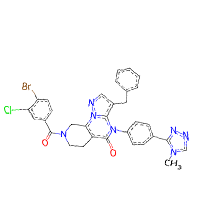 Cn1cnnc1-c1ccc(-n2c(=O)c3c(n4ncc(Cc5ccccc5)c24)CN(C(=O)c2ccc(Br)c(Cl)c2)CC3)cc1